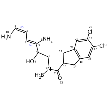 BN(CC(O)/C(N)=C/C=C\N)C(=O)C1Cc2cc(Cl)c(Cl)cc2C1